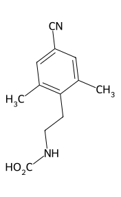 Cc1cc(C#N)cc(C)c1CCNC(=O)O